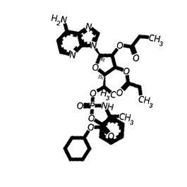 CCC(=O)OC1C(OC(=O)CC)[C@H](n2cnc3c(N)ccnc32)O[C@@H]1C(C)OP(=O)(NC(C)C(=O)OC1CCCCC1)Oc1ccccc1